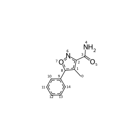 Cc1c(C(N)=O)noc1-c1ccccc1